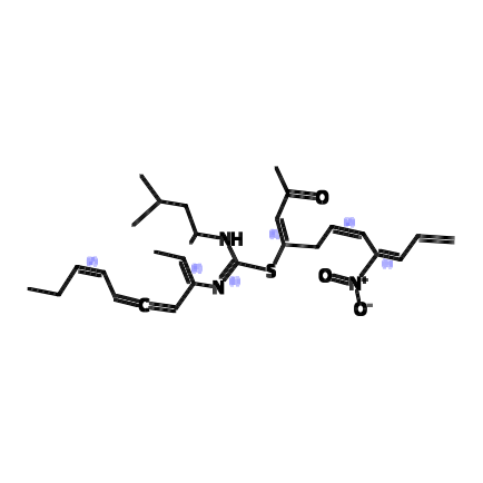 C=C/C=C(\C=C/C/C(=C\C(C)=O)S/C(=N/C(C=C=C/C=C\CC)=C/C)NC(C)CC(C)C)[N+](=O)[O-]